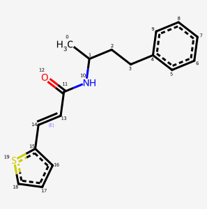 CC(CCc1ccccc1)NC(=O)/C=C/c1cccs1